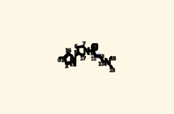 Cc1cnn(C2CCN(C(=O)/C=C/CN(C)C)C2)c1